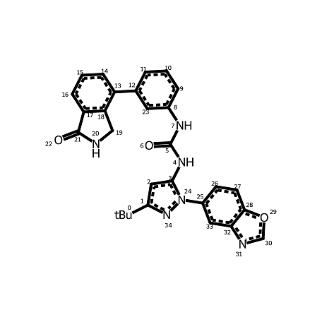 CC(C)(C)c1cc(NC(=O)Nc2cccc(-c3cccc4c3CNC4=O)c2)n(-c2ccc3ocnc3c2)n1